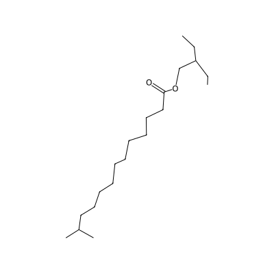 CCC(CC)COC(=O)CCCCCCCCCCC(C)C